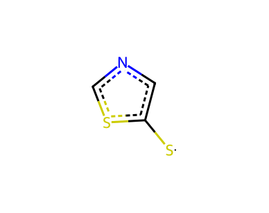 [S]c1cncs1